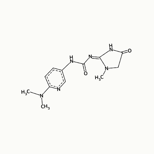 CN1CC(=O)NC1=NC(=O)Nc1ccc(N(C)C)nc1